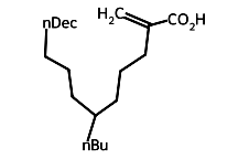 C=C(CCCC(CCCC)CCCCCCCCCCCCC)C(=O)O